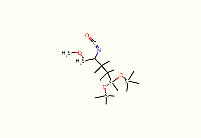 CC(C)(C(N=C=O)[SiH2]O[SiH3])C(C)(C)[Si](C)(O[Si](C)(C)C)O[Si](C)(C)C